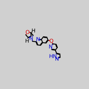 c1cc(-c2ccc(Oc3ccc4nc(CN5C[C@@H]6C[C@H]5CO6)ccc4c3)nc2)[nH]n1